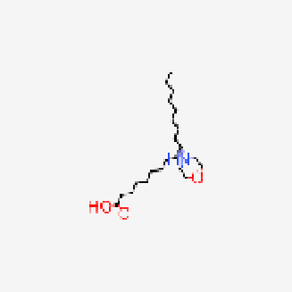 C1COCCN1.CCCCCCCC/C=C\CCCCCCCC(=O)O